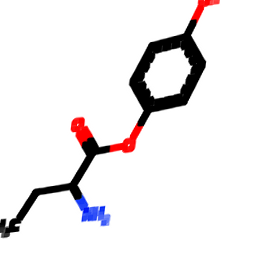 CCC(N)C(=O)Oc1ccc(O)cc1